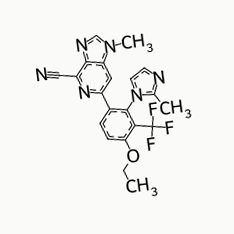 CCOc1ccc(-c2cc3c(ncn3C)c(C#N)n2)c(-n2ccnc2C)c1C(F)(F)F